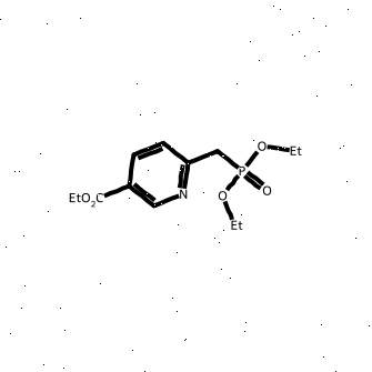 CCOC(=O)c1ccc(CP(=O)(OCC)OCC)nc1